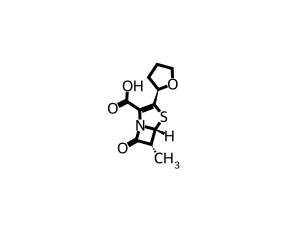 C[C@@H]1C(=O)N2C(C(=O)O)=C([C@H]3CCCO3)S[C@H]12